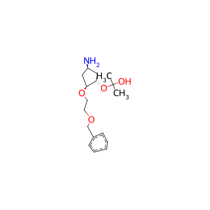 CC(C)(O)O[C@H]1C[C@H](N)C[C@@H]1OCCOCc1ccccc1